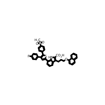 CS(=O)(=O)c1ccc(-c2sc(-c3cccc4c(CCCOc5cccc6ccccc56)c(C(=O)O)[nH]c34)cc2-c2ccc(F)cc2)cc1